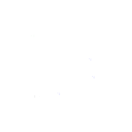 CCN1CCC(c2nccnc2OCc2ccc(Cl)cc2F)CC1